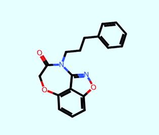 O=C1COc2cccc3onc(c23)N1CCCc1ccccc1